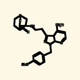 CCOC(=O)C1=CC=NC2C1C(CCN[C@H]1CN3CCC1CC3)=NN2Cc1ccc(OC)cc1